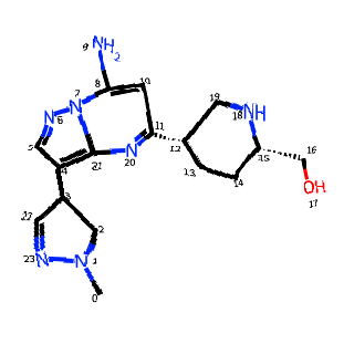 CN1CC(c2cnn3c(N)cc([C@H]4CC[C@@H](CO)NC4)nc23)C=N1